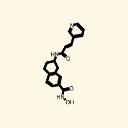 O=C(C=Cc1cccnc1)NC1CCc2ccc(C(=O)NO)cc2C1